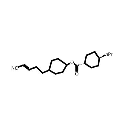 CCC[C@H]1CC[C@H](C(=O)OC2CCC(CC/C=C/C#N)CC2)CC1